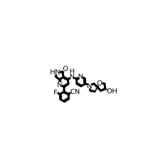 N#Cc1cccc(F)c1-c1cc(Nc2ccc(N3CC[C@@]4(C[C@@H](O)CO4)C3)cn2)c2c(n1)CNC2=O